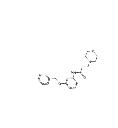 O=C(CCN1CCOCC1)Nc1cc(OCc2ccccc2)ccn1